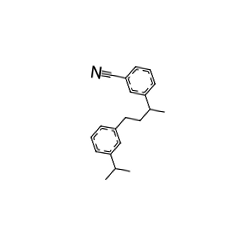 CC(C)c1cccc(CCC(C)c2cccc(C#N)c2)c1